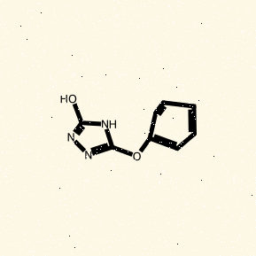 Oc1nnc(Oc2ccccc2)[nH]1